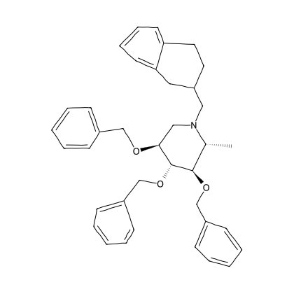 C[C@@H]1[C@@H](OCc2ccccc2)[C@H](OCc2ccccc2)[C@@H](OCc2ccccc2)CN1CC1CCc2ccccc2C1